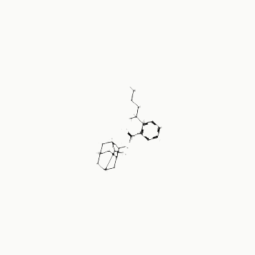 CCCCC(O)c1ccccc1C(=O)OC1C2CC3CC(C2)C(N)C1C3